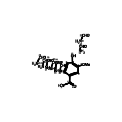 COc1cc(C(N)=O)ccc1O.NC=O.NC=O.NC=O.NC=O.NC=O.NC=O.NC=O.NC=O